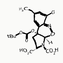 CC1C=C(Cl)C2=NO[C@H]3N(C(=O)O)[C@H](C(=O)O)C[C@@]3(OC(=O)OC(C)(C)C)C2=C1